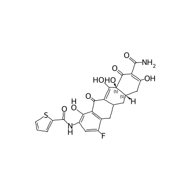 NC(=O)C1=C(O)C[C@@H]2CC3Cc4c(F)cc(NC(=O)c5cccs5)c(O)c4C(=O)C3=C(O)[C@]2(O)C1=O